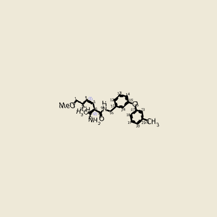 COCC(C)/C=C\C(C(=O)NCc1cccc(Oc2cccc(C)c2)c1)=C(/C)N